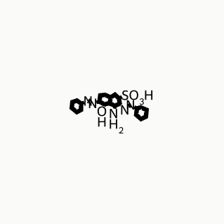 Nc1c(N=Nc2ccccc2)c(S(=O)(=O)O)cc2ccc(N=Nc3ccccc3)c(O)c12